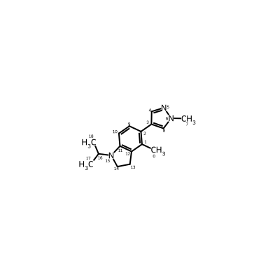 Cc1c(-c2cnn(C)c2)ccc2c1CCN2C(C)C